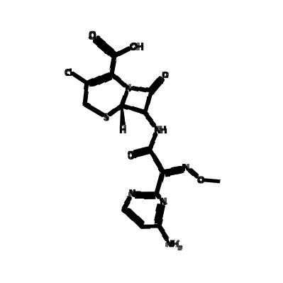 CON=C(C(=O)NC1C(=O)N2C(C(=O)O)=C(Cl)CS[C@@H]12)c1nccc(N)n1